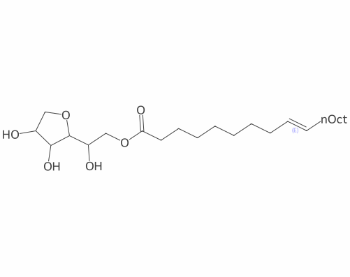 CCCCCCCC/C=C/CCCCCCCC(=O)OCC(O)C1OCC(O)C1O